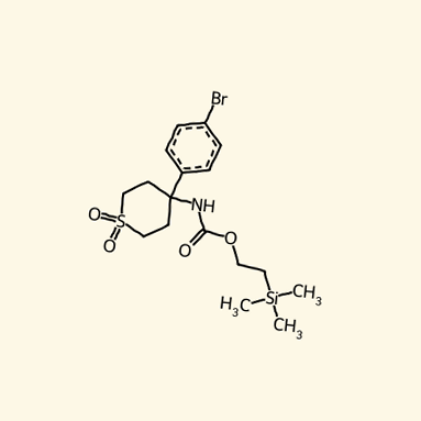 C[Si](C)(C)CCOC(=O)NC1(c2ccc(Br)cc2)CCS(=O)(=O)CC1